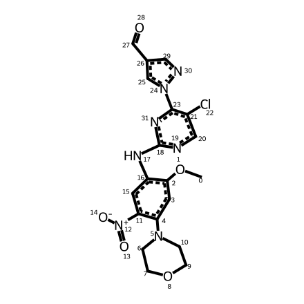 COc1cc(N2CCOCC2)c([N+](=O)[O-])cc1Nc1ncc(Cl)c(-n2cc(C=O)cn2)n1